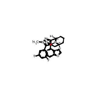 Cn1nc2c(c1-c1cc(F)cc(F)c1)C[C@H]1CCC[C@@H]2N1C(=O)c1nccc2occc12